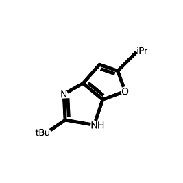 CC(C)c1cc2nc(C(C)(C)C)[nH]c2o1